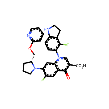 O=C(O)c1cn(-c2ccc3c(c2F)CCN3)c2cc(N3CCC[C@@H]3COc3ccccn3)c(F)cc2c1=O